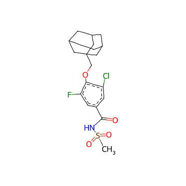 CS(=O)(=O)NC(=O)c1cc(F)c(OCC23CC4CC(CC(C4)C2)C3)c(Cl)c1